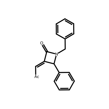 CC(=O)/C=C1/C(=O)N(Cc2ccccc2)C1c1ccccc1